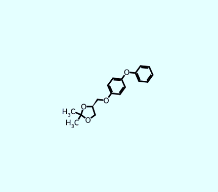 CC1(C)OC[C@H](COc2ccc(Oc3ccccc3)cc2)O1